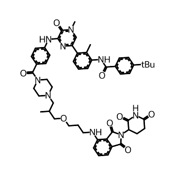 Cc1c(NC(=O)c2ccc(C(C)(C)C)cc2)cccc1-c1cn(C)c(=O)c(Nc2ccc(C(=O)N3CCN(CC(C)COCCCNc4cccc5c4C(=O)N(C4CCC(=O)NC4=O)C5=O)CC3)cc2)n1